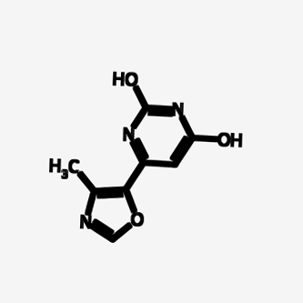 Cc1ncoc1-c1cc(O)nc(O)n1